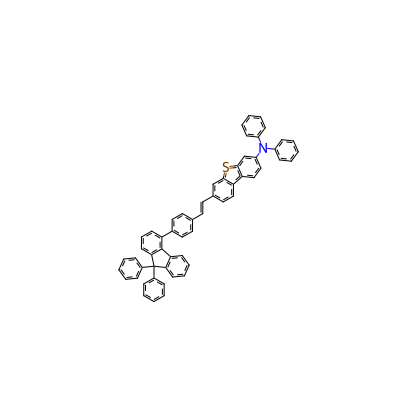 C(=C\c1ccc2c(c1)sc1cc(N(c3ccccc3)c3ccccc3)ccc12)/c1ccc(-c2cccc3c2-c2ccccc2C3(c2ccccc2)c2ccccc2)cc1